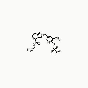 CCOC(=O)c1nccc2nn(Cc3cnc(OCC(F)(F)C(F)F)c(C)c3)cc12